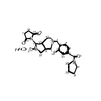 O=C(c1ccc(CN2CC3CN(C(=O)O)C(N4C(=O)CCC4=O)C3C2)c(F)c1)N1CCCC1